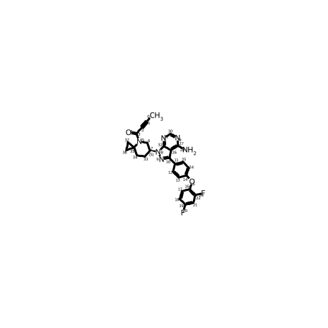 CC#CC(=O)N1C[C@@H](n2nc(-c3ccc(Oc4ccc(F)cc4F)cc3)c3c(N)ncnc32)CCC12CC2